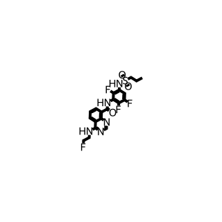 CCCS(=O)(=O)Nc1cc(F)c(F)c(NC(=O)c2cccc3c(NCCF)ncnc23)c1F